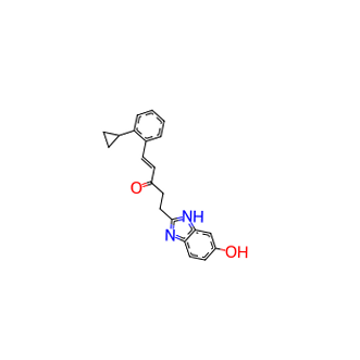 O=C(/C=C/c1ccccc1C1CC1)CCc1nc2ccc(O)cc2[nH]1